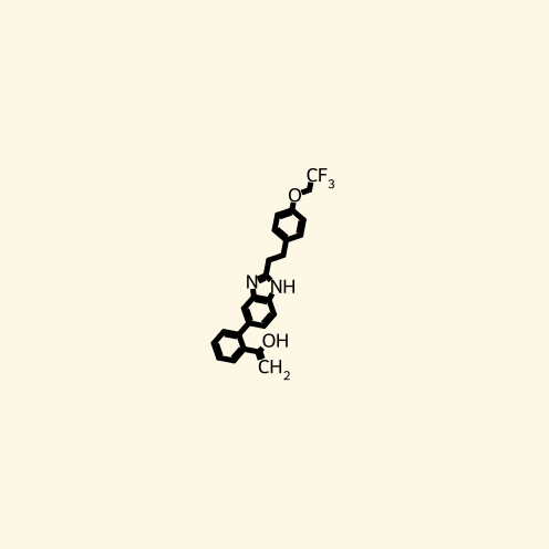 C=C(O)c1ccccc1-c1ccc2[nH]c(CCc3ccc(OCC(F)(F)F)cc3)nc2c1